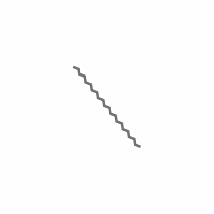 CCC=CCCCCCCCCCCCCCCCCCC